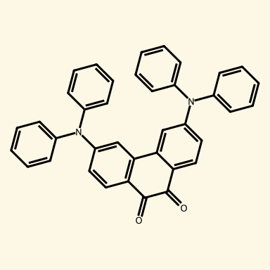 O=C1C(=O)c2ccc(N(c3ccccc3)c3ccccc3)cc2-c2cc(N(c3ccccc3)c3ccccc3)ccc21